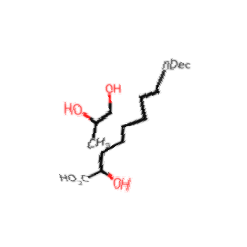 CC(O)CO.CCCCCCCCCCCCCCCCC(O)C(=O)O